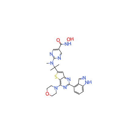 CN(c1ncc(C(=O)NO)cn1)C(C)(C)c1cc2nc(-c3cccc4[nH]ncc34)nc(N3CCOCC3)c2s1